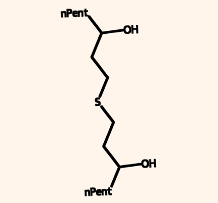 CCCCCC(O)CCSCCC(O)CCCCC